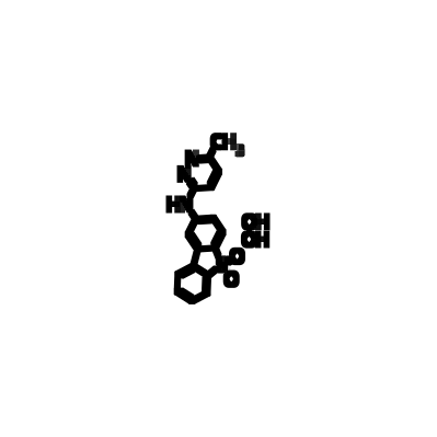 Cc1ccc(Nc2ccc3c(c2)-c2ccccc2S3(=O)=O)nn1.OO